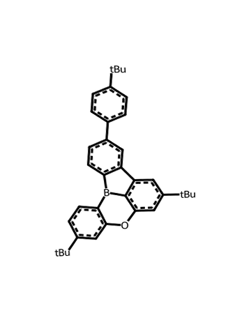 CC(C)(C)c1ccc(-c2ccc3c(c2)-c2cc(C(C)(C)C)cc4c2B3c2ccc(C(C)(C)C)cc2O4)cc1